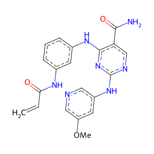 C=CC(=O)Nc1cccc(Nc2nc(Nc3cncc(OC)c3)ncc2C(N)=O)c1